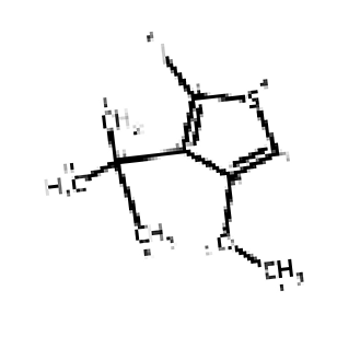 COc1csc(I)c1C(C)(C)C